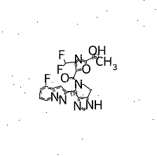 C[C@H](O)c1nc(C(F)F)c(C(=O)N2CCc3[nH]cnc3[C@H]2c2cc3c(F)cccn3n2)o1